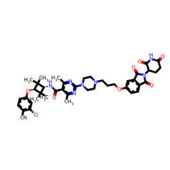 Cc1nc(N2CCN(CCCOc3ccc4c(c3)C(=O)N(C3CCC(=O)NC3=O)C4=O)CC2)nc(C)c1C(=O)N[C@H]1C(C)(C)[C@H](Oc2ccc(C#N)c(Cl)c2)C1(C)C